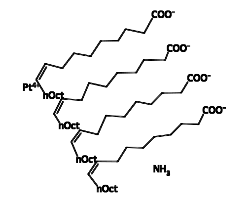 CCCCCCCC/C=C\CCCCCCCC(=O)[O-].CCCCCCCC/C=C\CCCCCCCC(=O)[O-].CCCCCCCC/C=C\CCCCCCCC(=O)[O-].CCCCCCCC/C=C\CCCCCCCC(=O)[O-].N.[Pt+4]